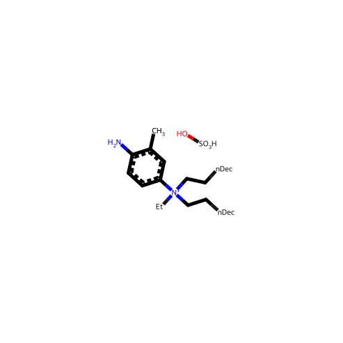 CCCCCCCCCCCC[N+](CC)(CCCCCCCCCCCC)c1ccc(N)c(C)c1.O=S(=O)(O)O